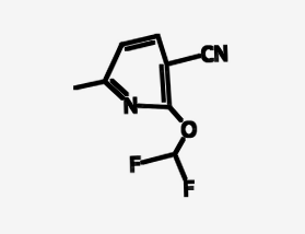 Cc1ccc(C#N)c(OC(F)F)n1